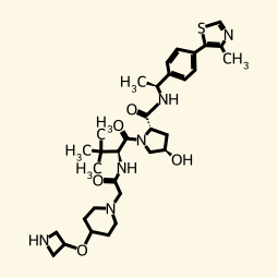 Cc1ncsc1-c1ccc([C@H](C)NC(=O)[C@@H]2C[C@@H](O)CN2C(=O)[C@@H](NC(=O)CN2CCC(OC3CNC3)CC2)C(C)(C)C)cc1